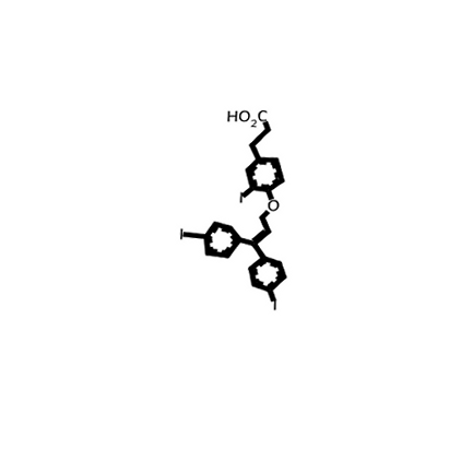 O=C(O)CCc1ccc(OCC=C(c2ccc(I)cc2)c2ccc(I)cc2)c(I)c1